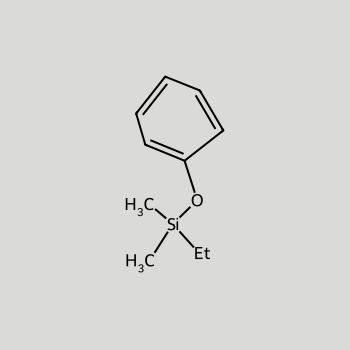 CC[Si](C)(C)Oc1ccccc1